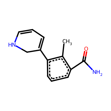 Cc1c(C(N)=O)cccc1C1=CC=CNC1